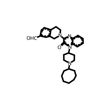 O=Cc1ccc2c(c1)CN(c1nc3ccccc3n(C3CCN(C4CCCCCCC4)CC3)c1=O)CC2